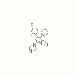 Cc1cc(F)ccc1-c1cc(N2CCN(C)CC2)nc(C=O)c1N1CCCCC1